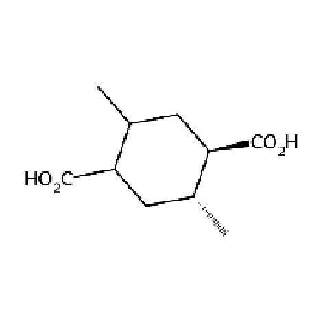 CC1C[C@@H](C(=O)O)[C@H](C)CC1C(=O)O